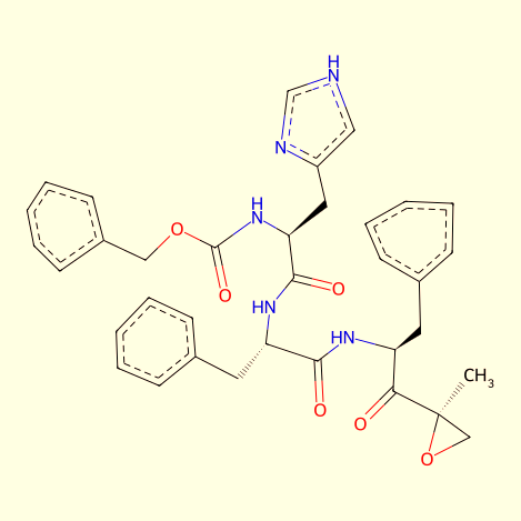 C[C@]1(C(=O)[C@H](Cc2ccccc2)NC(=O)[C@H](Cc2ccccc2)NC(=O)[C@H](Cc2c[nH]cn2)NC(=O)OCc2ccccc2)CO1